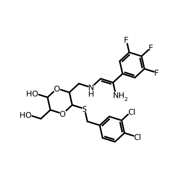 N/C(=C\NCC1OC(O)C(CO)OC1SCc1ccc(Cl)c(Cl)c1)c1cc(F)c(F)c(F)c1